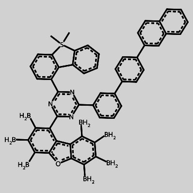 Bc1c(B)c(B)c2c(oc3c(B)c(B)c(B)c(-c4nc(-c5cccc(-c6ccc(-c7ccc8ccccc8c7)cc6)c5)nc(-c5cccc6c5-c5ccccc5S6(C)C)n4)c32)c1B